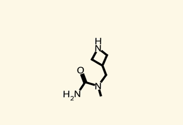 CN(CC1CNC1)C(N)=O